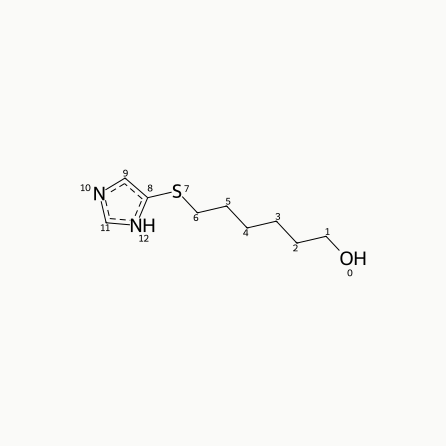 OCCCCCCSc1cnc[nH]1